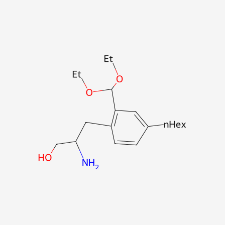 CCCCCCc1ccc(CC(N)CO)c(C(OCC)OCC)c1